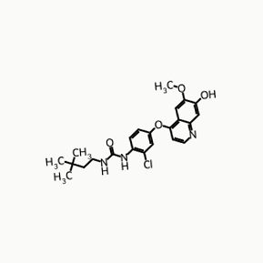 COc1cc2c(Oc3ccc(NC(=O)NCCC(C)(C)C)c(Cl)c3)ccnc2cc1O